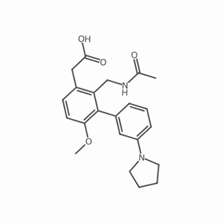 COc1ccc(CC(=O)O)c(CNC(C)=O)c1-c1cccc(N2CCCC2)c1